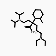 CCN(CC)CCCC(CCN(C(C)C)C(C)C)(C(N)=O)C1CCCCC1C